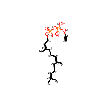 C#COP(=O)(O)OP(=O)(O)OCC=C(C)CCC=C(C)CCC=C(C)C